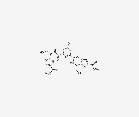 COC(=O)c1coc(C(CO)NC(=O)c2cc(Br)cc(C(=O)NC(CO)c3nc(C(=O)OC)co3)n2)n1